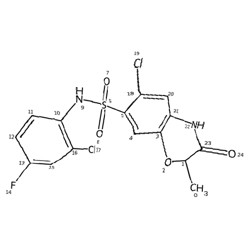 CC1Oc2cc(S(=O)(=O)Nc3ccc(F)cc3Cl)c(Cl)cc2NC1=O